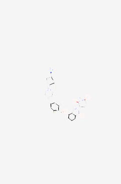 N#CC1=CC(F)=C(N2CCC(Sc3cc(F)c(COc4cccc5c4CN(C4CCC(=O)NC4=O)C5=O)c(F)c3)CC2)CC1